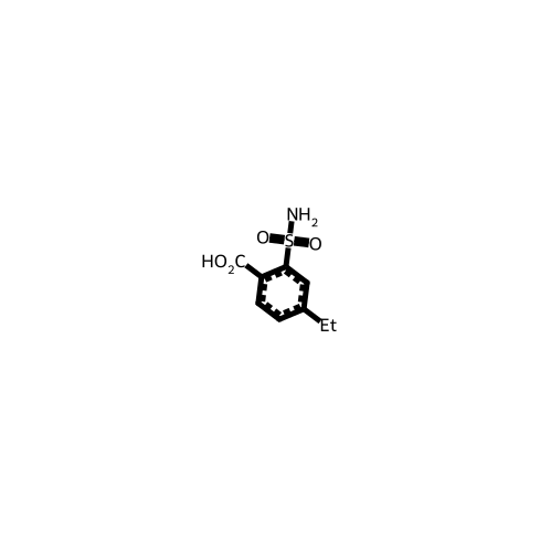 CCc1ccc(C(=O)O)c(S(N)(=O)=O)c1